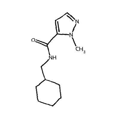 Cn1nccc1C(=O)NCC1CCCCC1